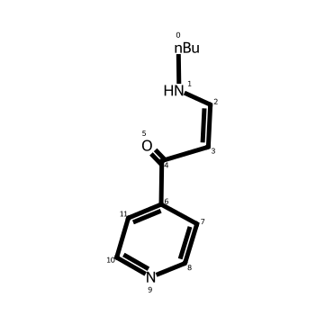 CCCCN/C=C\C(=O)c1ccncc1